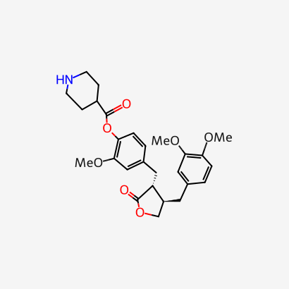 COc1ccc(C[C@H]2COC(=O)[C@@H]2Cc2ccc(OC(=O)C3CCNCC3)c(OC)c2)cc1OC